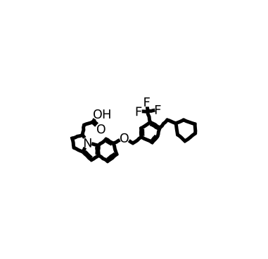 O=C(O)CC1CCc2cc3ccc(OCc4ccc(CC5CCCCC5)c(C(F)(F)F)c4)cc3n21